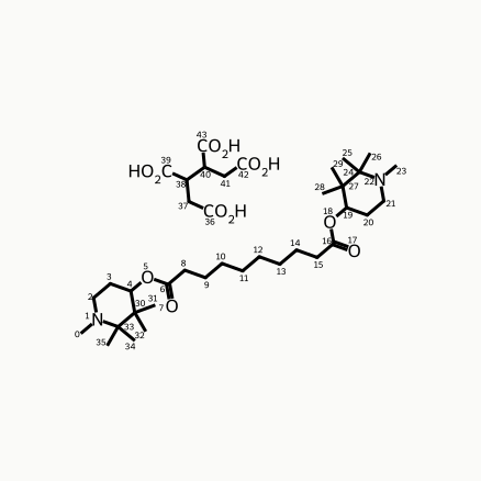 CN1CCC(OC(=O)CCCCCCCCC(=O)OC2CCN(C)C(C)(C)C2(C)C)C(C)(C)C1(C)C.O=C(O)CC(C(=O)O)C(CC(=O)O)C(=O)O